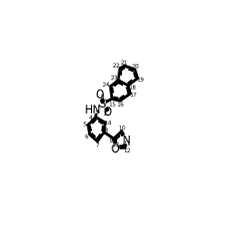 O=S(=O)(Nc1cccc(-c2cnco2)c1)c1ccc2ccccc2c1